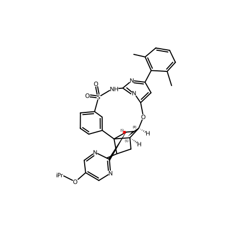 Cc1cccc(C)c1-c1cc2nc(n1)NS(=O)(=O)c1cccc(c1)C13C(C)C[C@@H]1[C@@H](CCC[C@@H]3c1ncc(OC(C)C)cn1)O2